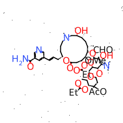 CCC(=O)O[C@@H]1CC(=O)O[C@@H](C/C=C/c2cncc(C(N)=O)c2)CCCN(C)C[C@H](O)[C@H](C)C[C@H](CC=O)[C@H](O[C@@H]2OC(C)[C@@H](O[C@H]3CC(C)(OC(C)=O)[C@@H](OC(=O)CC)C(C)O3)C(N(C)C)C2O)[C@H]1OC